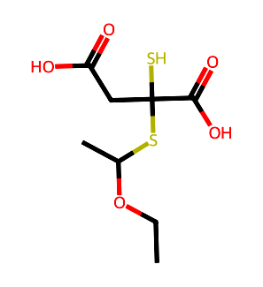 CCOC(C)SC(S)(CC(=O)O)C(=O)O